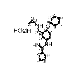 Cl.Cl.N=C(Nc1ccc(Oc2ccccc2)c(CNC2CC2)c1)c1cccs1